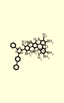 Bc1c(B)c(-c2c(B)c(B)c(-c3c(B)c(B)c(B)c4oc5c(B)c(B)c(B)c(C)c5c34)c(C)c2B)c(B)c(B)c1-c1nc(-c2ccccc2)nc(-c2ccc(-c3ccccc3)cc2)n1